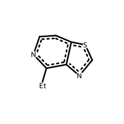 CCc1nccc2scnc12